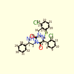 NC(Cn1c(=O)c(-c2ccccc2Cl)nn(Cc2c(F)cccc2Cl)c1=O)c1ccccc1